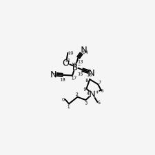 CCCC[N+]1(C)CCCC1.CO[B-](C#N)(C#N)CC#N